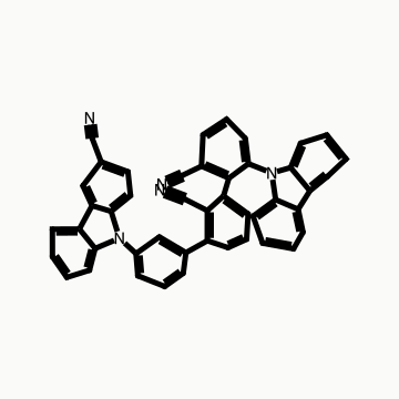 N#Cc1ccc2c(c1)c1ccccc1n2-c1cccc(-c2cccc(-c3c(C#N)cccc3-n3c4ccccc4c4ccccc43)c2C#N)c1